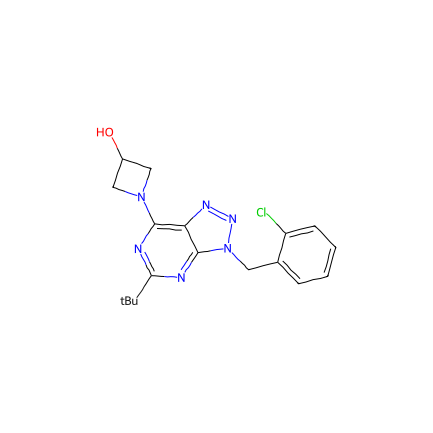 CC(C)(C)c1nc(N2CC(O)C2)c2nnn(Cc3ccccc3Cl)c2n1